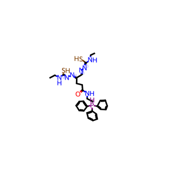 CCN/C(S)=N/N=C/C(CCC(=O)NCC[PH](c1ccccc1)(c1ccccc1)c1ccccc1)=N/N=C(\S)NCC